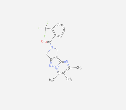 Cc1nc2c3c(nn2c(C)c1C)CN(C(=O)c1ccccc1C(F)(F)F)C3